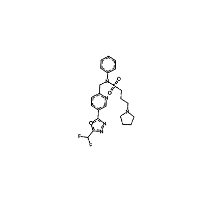 O=S(=O)(CCCN1CCCC1)N(Cc1ccc(-c2nnc(C(F)F)o2)cn1)c1ccccc1